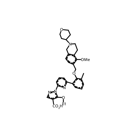 CCOc1c(C(=O)O)cnn1-c1cccc(-c2cccc(C)c2OCc2ccc3c(c2OC)CCN(C2CCOCC2)C3)n1